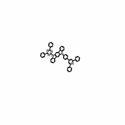 c1ccc(-c2cc(-c3ccc(-n4c5ccccc5c5cc6c(cc54)c4ccccc4n6-c4nc(-c5ccccc5)nc(-c5ccccc5)n4)cc3)cc(-c3ccccc3)n2)cc1